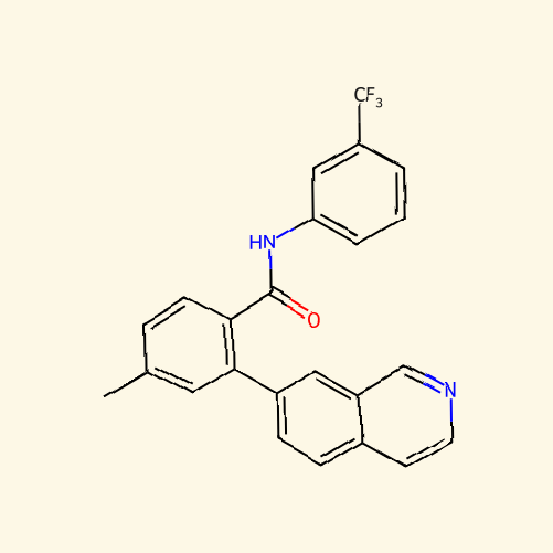 Cc1ccc(C(=O)Nc2cccc(C(F)(F)F)c2)c(-c2ccc3ccncc3c2)c1